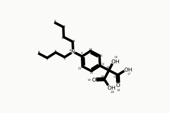 CCCCN(CCCC)c1ccc(C(O)(C(=O)O)C(=O)O)cc1